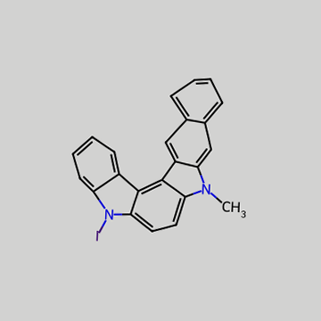 Cn1c2cc3ccccc3cc2c2c3c4ccccc4n(I)c3ccc21